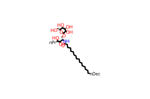 CCCCCCCCCCCCCCCCCCCCCCCCCCC(=O)N[C@@H](CO[C@H]1O[C@H](CO)[C@H](O)[C@H](O)[C@H]1O)[C@H](O)[C@H](O)CCC